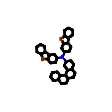 c1ccc2c(c1)ccc1ccc3ccc(N(c4ccc5c(c4)sc4ccccc45)c4ccc5sc6ccccc6c5c4)cc3c12